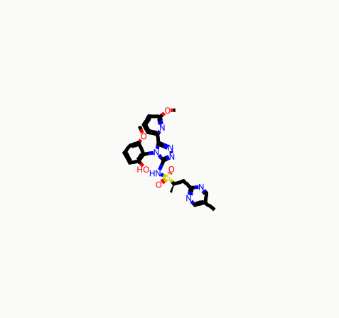 COC1=NC(c2nnc(NS(=O)(=O)[C@H](C)Cc3ncc(C)cn3)n2-c2c(O)cccc2OC)=C=C=C1